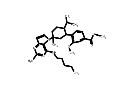 CCCCCNc1nc(N)nc2ccn(C3(C)CCC(C(C)C)C(c4ccc(C(=O)OC)cc4OC)C3)c12